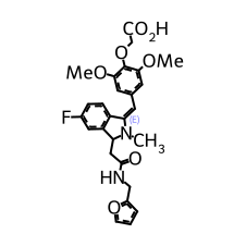 COc1cc(/C=C2\c3ccc(F)cc3C(CC(=O)NCc3ccco3)N2C)cc(OC)c1OCC(=O)O